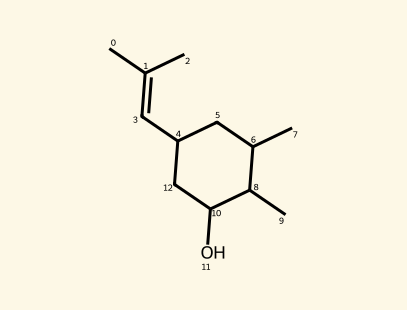 CC(C)=CC1CC(C)C(C)C(O)C1